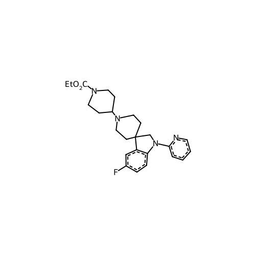 CCOC(=O)N1CCC(N2CCC3(CC2)CN(c2ccccn2)c2ccc(F)cc23)CC1